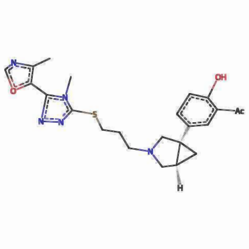 CC(=O)c1cc([C@]23C[C@H]2CN(CCCSc2nnc(-c4ocnc4C)n2C)C3)ccc1O